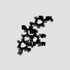 CC(C)[C@@H](C(=O)N[C@@H](Cc1ccc(F)c(F)c1)C(=O)NCc1ccc(N)nc1)N(C)C(C)C